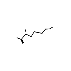 CCCCCC[C@H](F)C(=O)O